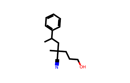 CC(CC(C)(C#N)CCCO)c1ccccc1